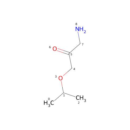 CC(C)OCC(=O)CN